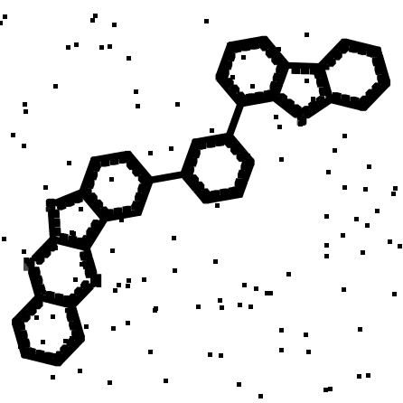 c1cc(-c2ccc3sc4nc5ccccc5nc4c3c2)cc(-c2cccc3c2sc2ccccc23)c1